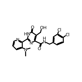 CN(C)c1cccnc1-c1nc(C(=O)NCc2ccc(Cl)c(Cl)c2)c(CO)c(=O)[nH]1